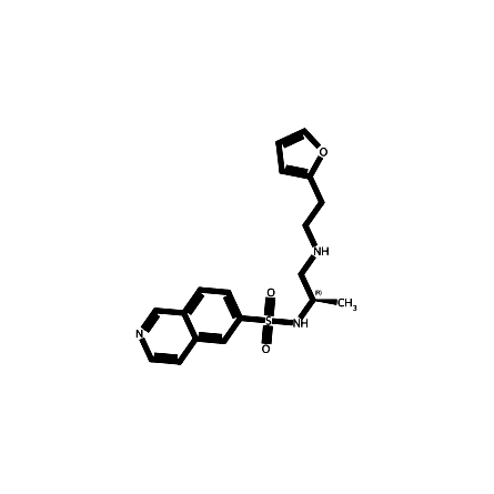 C[C@H](CNCCc1ccco1)NS(=O)(=O)c1ccc2cnccc2c1